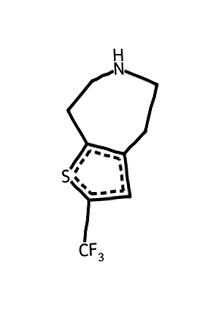 FC(F)(F)c1cc2c(s1)CCNCC2